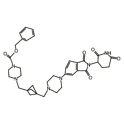 O=C1CCC(N2C(=O)c3ccc(N4CCN(CC56CC(CN7CCN(C(=O)OCc8ccccc8)CC7)(C5)C6)CC4)cc3C2=O)C(=O)N1